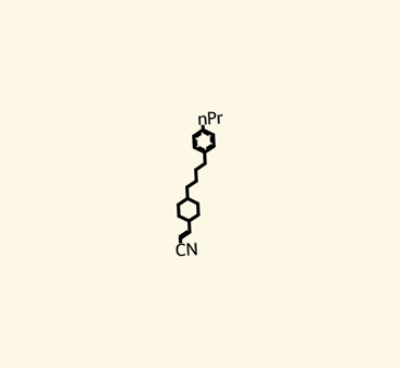 CCCc1ccc(CCCCC2CCC(C=CC#N)CC2)cc1